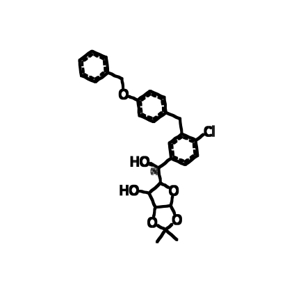 CC1(C)OC2OC([C@@H](O)c3ccc(Cl)c(Cc4ccc(OCc5ccccc5)cc4)c3)C(O)C2O1